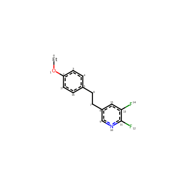 CCOc1ccc(CCc2cnc(F)c(F)c2)cc1